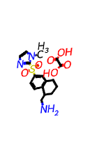 Cn1ccnc1S(=O)(=O)c1ccc2c(c1)CCCC2CN.O=C(O)C(=O)O